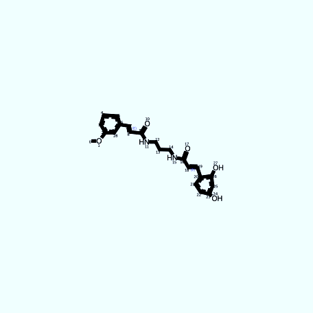 COc1cccc(/C=C/C(=O)NCCCNC(=O)/C=C/c2ccc(O)cc2O)c1